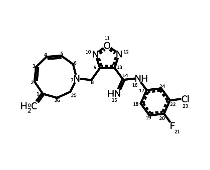 C=C1/C=C\C=C/CN(Cc2nonc2C(=N)Nc2ccc(F)c(Cl)c2)CC1